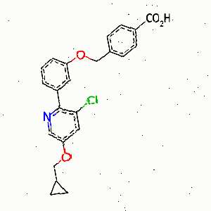 O=C(O)c1ccc(COc2cccc(-c3ncc(OCC4CC4)cc3Cl)c2)cc1